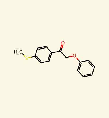 CSc1ccc(C(=O)COc2ccccc2)cc1